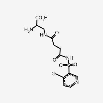 NC(CNC(=O)CCC(=O)NS(=O)(=O)c1cnccc1Cl)C(=O)O